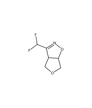 FC(F)C1=NOC2COCC12